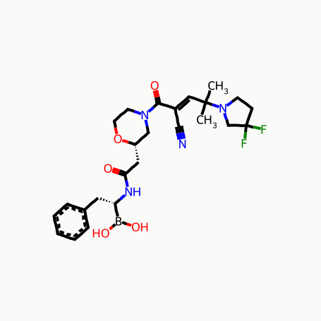 CC(C)(/C=C(\C#N)C(=O)N1CCO[C@@H](CC(=O)N[C@@H](Cc2ccccc2)B(O)O)C1)N1CCC(F)(F)C1